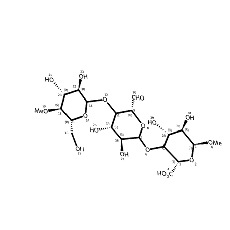 CO[C@H]1O[C@H](C(=O)O)C(OC2O[C@@H](C=O)C(OC3O[C@H](CO)[C@@H](OC)[C@H](O)[C@H]3O)[C@@H](O)[C@@H]2O)[C@H](O)[C@H]1O